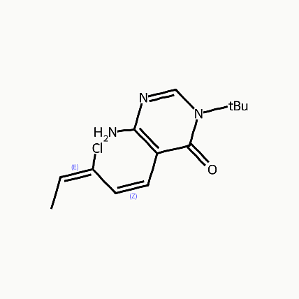 C/C=C(Cl)\C=C/c1c(N)ncn(C(C)(C)C)c1=O